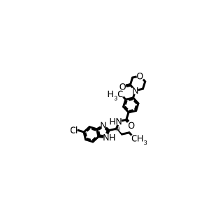 CCC[C@H](NC(=O)c1ccc(N2CCOCC2=O)c(C)c1)c1nc2cc(Cl)ccc2[nH]1